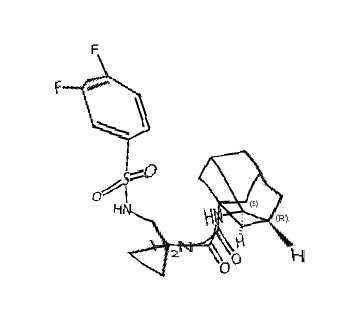 NC(=O)C12CC3CC(C1)[C@H](NC(=O)C1(CNS(=O)(=O)c4ccc(F)c(F)c4)CC1)[C@H](C3)C2